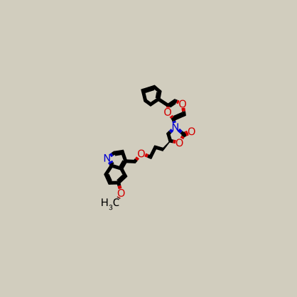 COc1ccc2nccc(COCCC[C@H]3CN(C4=COC=C(C5=CC=CCC5)O4)C(=O)O3)c2c1